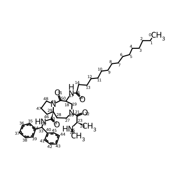 CCCCCCCCCCCCCCCC(=O)NC1CN(C(=O)[C@@H](C)NC)CC[C@]2(C(=O)NC(c3ccccc3)c3ccccc3)CCCN2C1=O